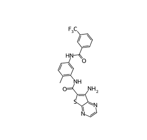 Cc1ccc(NC(=O)c2cccc(C(F)(F)F)c2)cc1NC(=O)c1sc2nccnc2c1N